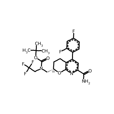 CC(C)(C)OC(=O)N(C[C@@H]1CCc2c(-c3ccc(F)cc3F)cc(C(N)=O)nc2O1)CC(F)(F)F